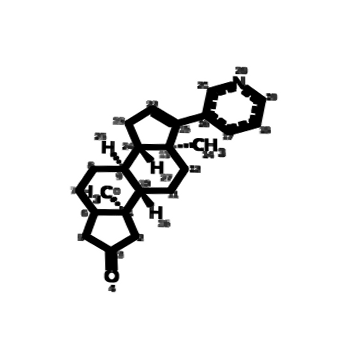 C[C@]12CC(=O)CC1CC[C@@H]1[C@@H]2CC[C@]2(C)C(c3cccnc3)=CC[C@@H]12